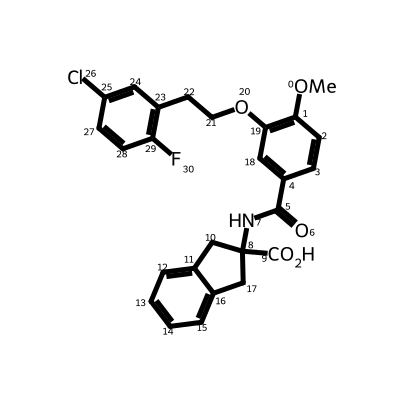 COc1ccc(C(=O)NC2(C(=O)O)Cc3ccccc3C2)cc1OCCc1cc(Cl)ccc1F